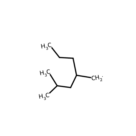 [CH2]C(CCC)CC(C)C